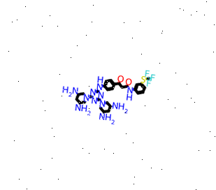 N[C@@H]1C[C@H](N)CN(c2nc(Nc3ccc(C(=O)CC(=O)Nc4cccc(SC(F)(F)F)c4)cc3)nc(N3C[C@H](N)C[C@H](N)C3)n2)C1